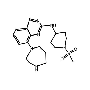 CS(=O)(=O)N1CCC(Nc2ncc3cccc(N4CCCNCC4)c3n2)CC1